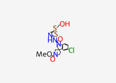 COC(=O)N1CCC2(C1)CN(C(=O)Nc1ncc(SCCO)s1)c1ccc(Cl)cc12